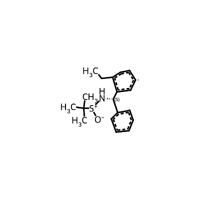 CCc1cc[c]cc1[C@@H](N[S+]([O-])C(C)(C)C)c1ccccc1